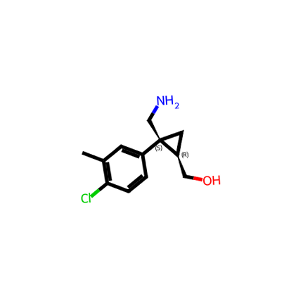 Cc1cc([C@]2(CN)C[C@H]2CO)ccc1Cl